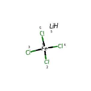 [Cl][Fe]([Cl])([Cl])[Cl].[LiH]